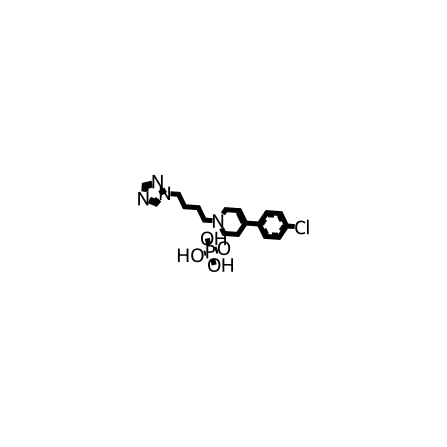 Clc1ccc(C2=CCN(CCCCn3cncn3)CC2)cc1.O=P(O)(O)O